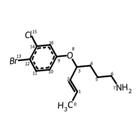 CC=CC(CCCN)Oc1ccc(Br)c(Cl)c1